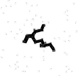 C=C[SiH](CCC)CCNCC